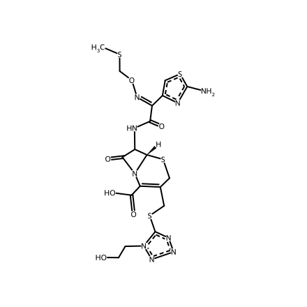 CSCON=C(C(=O)NC1C(=O)N2C(C(=O)O)=C(CSc3nnnn3CCO)CS[C@@H]12)c1csc(N)n1